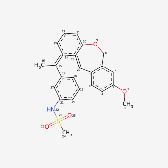 COc1ccc2c(c1)COc1cccc(=C(C)c3cccc(NS(C)(=O)=O)c3)c1=C2